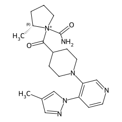 Cc1cnn(-c2ccncc2N2CCC(C(=O)[N+]3(C(N)=O)CCC[C@H]3C)CC2)c1